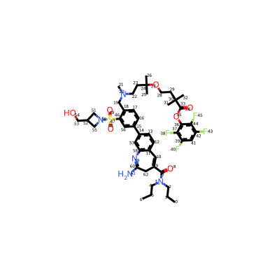 CCCN(CCC)C(=O)C1=Cc2ccc(-c3ccc(CN(C)CCC(C)(C)OCCC(C)(C)C(=O)Oc4c(F)c(F)cc(F)c4F)c(S(=O)(=O)N4CC(CO)C4)c3)cc2N=C(N)C1